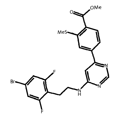 COC(=O)c1ccc(-c2cc(NCCc3c(F)cc(Br)cc3F)ncn2)cc1SC